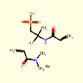 C=CC(=O)N(C)C.C=CC(=O)NC(C)(C)CS(=O)(=O)O.[Na]